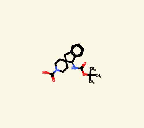 CC(C)(C)OC(=O)N[C@@H]1c2ccccc2CC12CCN(C(=O)O)CC2